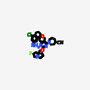 N#C[C@@H]1CCCN(c2nc(OC[C@@]34CCCN3C[C@H](F)C4)nc3c2COC2(CCCc4c(Cl)cc(N)cc42)C3)CC1